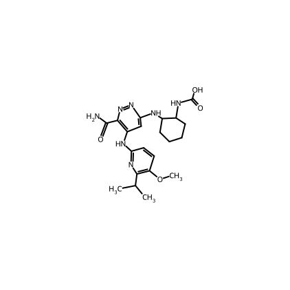 COc1ccc(Nc2cc(NC3CCCCC3NC(=O)O)nnc2C(N)=O)nc1C(C)C